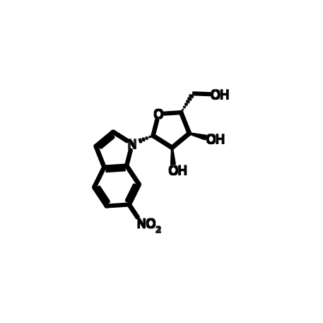 O=[N+]([O-])c1ccc2ccn([C@@H]3O[C@H](CO)[C@@H](O)[C@H]3O)c2c1